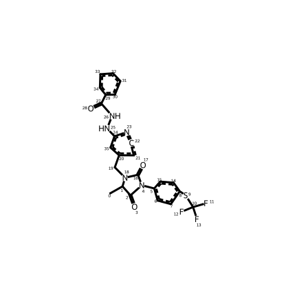 CC1C(=O)N(c2ccc(SC(F)(F)F)cc2)C(=O)N1Cc1ccnc(NNC(=O)c2ccccc2)c1